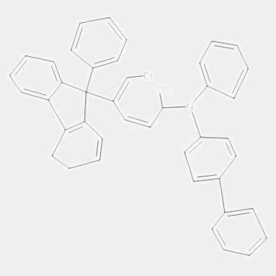 CC/C=C(\C=C/C(C)N(c1ccccc1)c1ccc(-c2ccccc2)cc1)C1(c2ccccc2)C2=C(CCC=C2)c2ccccc21